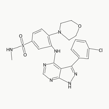 CNS(=O)(=O)c1ccc(N2CCOCC2)c(Nc2ncnc3[nH]nc(-c4cccc(Cl)c4)c23)c1